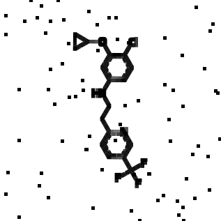 FC(F)(F)c1ccc(CCNc2ccc(Cl)c(OC3CC3)c2)nc1